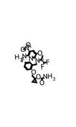 NC(=O)OC1(COc2ccc(F)cc2CN2c3nc(N)c([N+](=O)[O-])cc3OC[C@H]2C(F)F)CC1